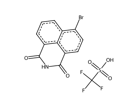 O=C1NC(=O)c2ccc(Br)c3cccc1c23.O=S(=O)(O)C(F)(F)F